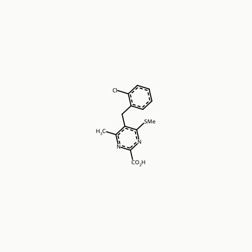 CSc1nc(C(=O)O)nc(C)c1Cc1ccccc1Cl